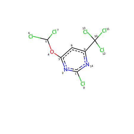 Clc1nc(OC(Cl)Cl)cc(C(Cl)(Cl)Cl)n1